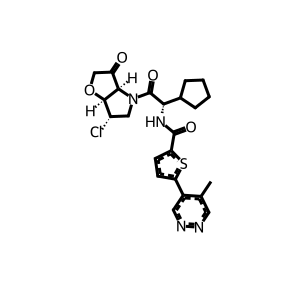 Cc1cnncc1-c1ccc(C(=O)N[C@H](C(=O)N2C[C@H](Cl)[C@H]3OCC(=O)[C@H]32)C2CCCC2)s1